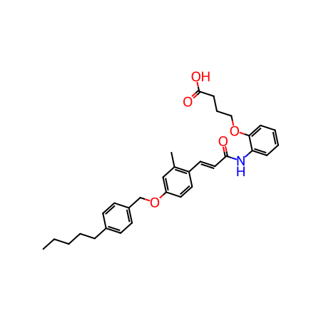 CCCCCc1ccc(COc2ccc(/C=C/C(=O)Nc3ccccc3OCCCC(=O)O)c(C)c2)cc1